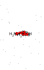 Cn1nc(C2CCC(=O)NC2=O)c2ccnc(N3CCN(C4CC(c5ccc(N)nc5)C4)CC3)c21